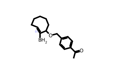 B/C1=C\CCCCCC1OCc1ccc(C(C)=O)cc1